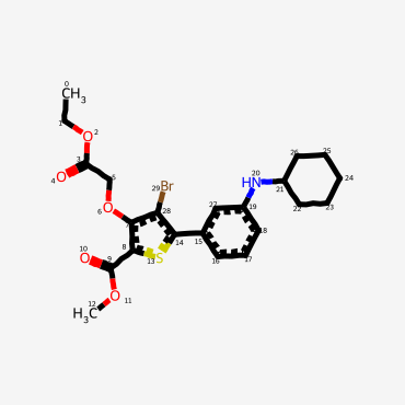 CCOC(=O)COc1c(C(=O)OC)sc(-c2cccc(NC3CCCCC3)c2)c1Br